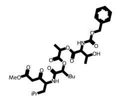 CCC(C)C(OC(=O)C(C)OC(=O)C(NC(=O)OCc1ccccc1)C(C)O)C(=O)NC(CC(C)C)C(=O)CC(=O)OC